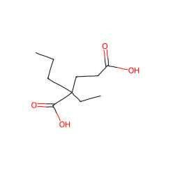 CCCC(CC)(CCC(=O)O)C(=O)O